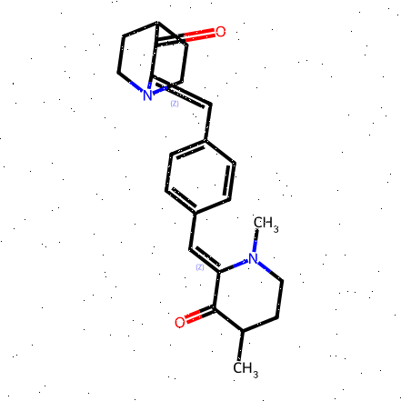 CC1CCN(C)/C(=C\c2ccc(/C=C3/C(=O)C4CCN3CC4)cc2)C1=O